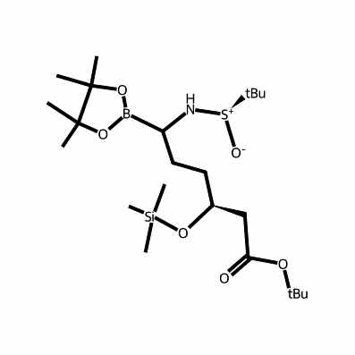 CC(C)(C)OC(=O)C[C@H](CCC(N[S@+]([O-])C(C)(C)C)B1OC(C)(C)C(C)(C)O1)O[Si](C)(C)C